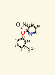 CC(C)c1cccc(Oc2ncccc2[N+](=O)[O-])c1